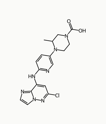 CC1CN(C(=O)O)CCN1c1ccc(Nc2cc(Cl)nn3ccnc23)nc1